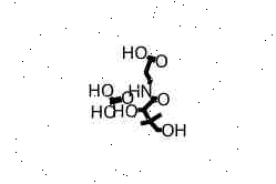 CC(C)(CO)C(O)C(=O)NCCC(=O)O.O=C(O)O